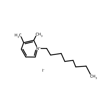 CCCCCCCC[n+]1cccc(C)c1C.[I-]